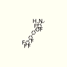 CCC(N)c1cc(F)c(OCc2ccc(-c3ccc(-c4cc(F)c(F)c(F)c4)c(F)c3)cc2)c(F)c1